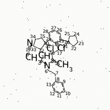 CC#N.CCN(CCc1ccccc1)C(C)CCc1c(C2(Cl)CCCC2)cccc1C1(Cl)CCCC1